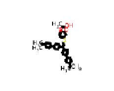 CC(Oc1ccc(SCC=C(c2ccc(-c3ccc(C(C)C)cc3)cc2)c2ccc(-c3ccc(C(C)C)cc3)cc2)cc1)C(=O)O